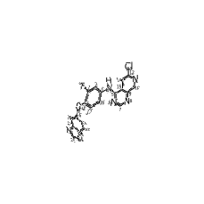 Fc1cc(Nc2ncnc3cnc(Cl)cc23)ccc1Oc1ccn2ncnc2c1